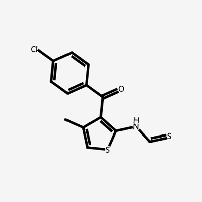 Cc1csc(NC=S)c1C(=O)c1ccc(Cl)cc1